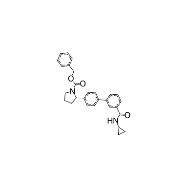 O=C(NC1CC1)c1cccc(-c2ccc([C@@H]3CCCN3C(=O)OCc3ccccc3)cc2)c1